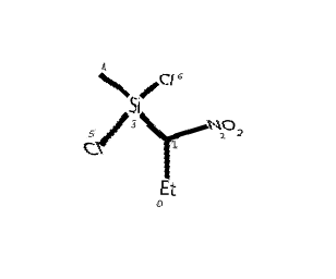 CCC([N+](=O)[O-])[Si](C)(Cl)Cl